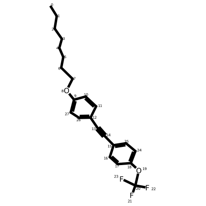 CCCCCCCCOc1ccc(C#Cc2ccc(OC(F)(F)F)cc2)cc1